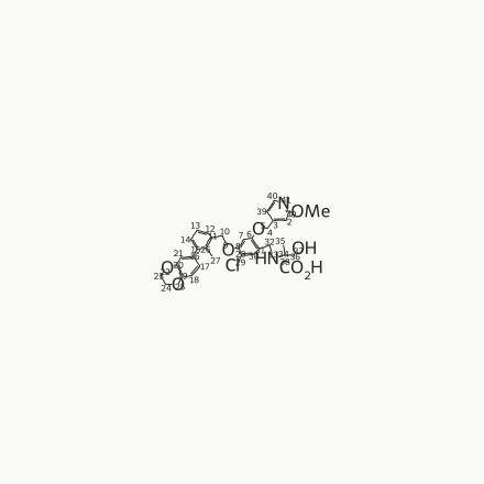 COc1cc(COc2cc(OCc3cccc(-c4ccc5c(c4)OCCO5)c3C)c(Cl)cc2CN[C@@](C)(CO)C(=O)O)ccn1